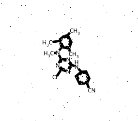 Cc1cc(C)c(N(C)c2nc(Cl)nc(Nc3ccc(C#N)cc3)n2)c(C)c1